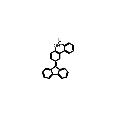 OC1=C(c2ccccc2O)CC(=C2c3ccccc3-c3ccccc32)C=C1